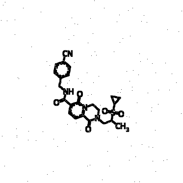 CC(CN1CCn2c(ccc(C(=O)NCc3ccc(C#N)cc3)c2=O)C1=O)S(=O)(=O)C1CC1